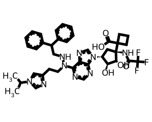 CC(C)n1cnc(CCN(NCC(c2ccccc2)c2ccccc2)c2ncnc3c2ncn3[C@@H]2C[C@](NC(=O)C(F)(F)F)(C3(C(=O)O)CCC3)[C@@H](O)[C@H]2O)c1